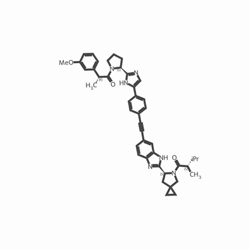 COc1cccc([C@@H](C)C(=O)N2CCC[C@H]2c2ncc(-c3ccc(C#Cc4ccc5nc([C@@H]6CC7(CC7)CN6C(=O)[C@@H](C)C(C)C)[nH]c5c4)cc3)[nH]2)c1